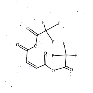 O=C(/C=C\C(=O)OC(=O)C(F)(F)F)OC(=O)C(F)(F)F